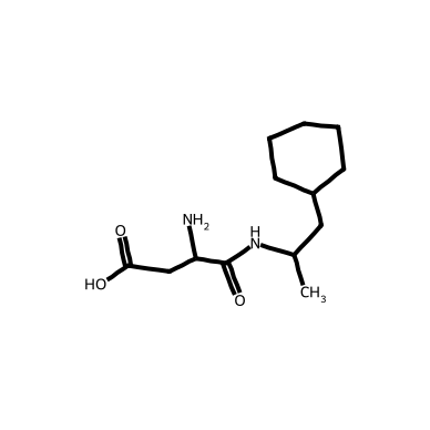 CC(CC1CCCCC1)NC(=O)C(N)CC(=O)O